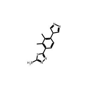 Bc1nnc(-c2ccc(C3C=NN=C3)c(C)c2C)s1